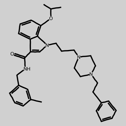 Cc1cccc(CNC(=O)c2cn(CCCN3CCN(CCc4ccccc4)CC3)c3c(OC(C)C)cccc23)c1